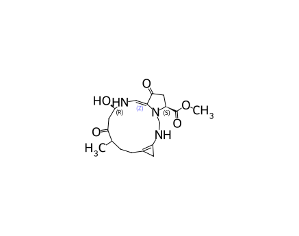 COC(=O)[C@@H]1CC(=O)/C2=C/N[C@H](O)CC(=O)C(C)CCC3=C(C3)NCN21